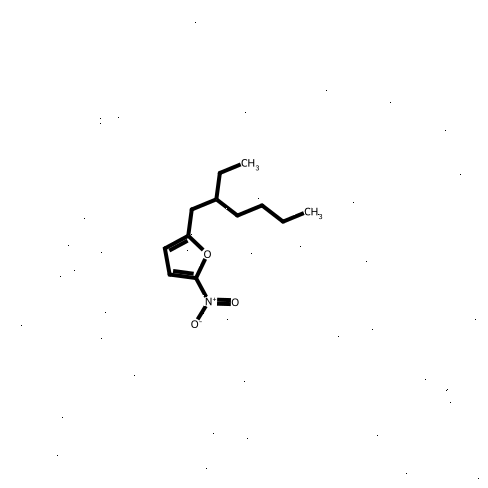 CCCCC(CC)Cc1ccc([N+](=O)[O-])o1